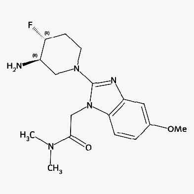 COc1ccc2c(c1)nc(N1CC[C@@H](F)[C@H](N)C1)n2CC(=O)N(C)C